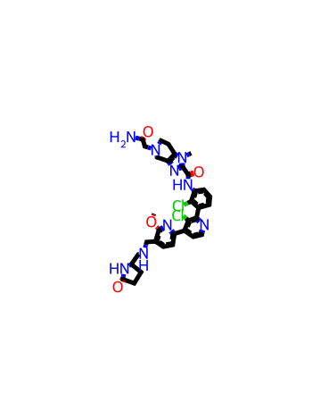 COc1nc(-c2ccnc(-c3cccc(NC(=O)c4nc5c(n4C)CCN(CC(N)=O)C5)c3Cl)c2Cl)ccc1CNCC1CCC(=O)N1